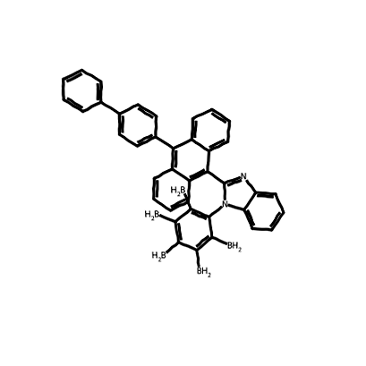 Bc1c(B)c(B)c(-n2c(-c3c4ccccc4c(-c4ccc(-c5ccccc5)cc4)c4ccccc34)nc3ccccc32)c(B)c1B